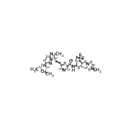 Cc1nc2ccc(N3C[C@@H](C)O[C@@H](C)C3)nn2c1C#Cc1cncc(C(=O)Nc2ccc(CN3CCN(C)CC3)c(C(F)(F)F)c2)c1